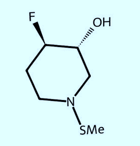 CSN1CC[C@@H](F)[C@H](O)C1